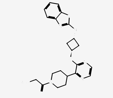 CC(=O)OCC(=O)N1CCC(c2nccnc2O[C@H]2C[C@H](Nc3nc4ccccc4s3)C2)CC1